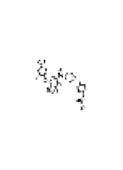 Cc1cc(C#N)cc(C)c1Oc1nc(NC2CCN(Cc3ccc(SNC4CC4)cc3)CC2)nc2ncsc12